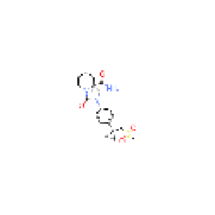 CS(=O)(=O)CC1(c2ccc(N3C[C@@]4(C(N)=O)[CH]CCCN4C3=O)cc2)CC1